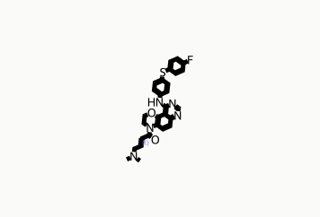 CN(C)C/C=C/C(=O)N1CCOc2c1ccc1ncnc(Nc3ccc(Sc4ccc(F)cc4)cc3)c21